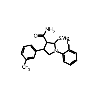 CSC1C(C(N)=O)C(c2cccc(C(F)(F)F)c2)CN1c1ccccc1F